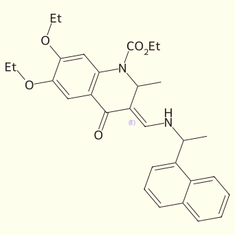 CCOC(=O)N1c2cc(OCC)c(OCC)cc2C(=O)/C(=C/NC(C)c2cccc3ccccc23)C1C